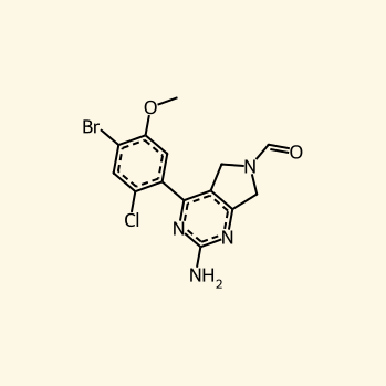 COc1cc(-c2nc(N)nc3c2CN(C=O)C3)c(Cl)cc1Br